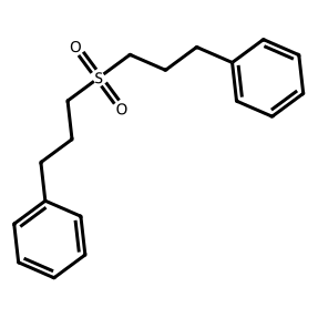 O=S(=O)(CCCc1ccccc1)CCCc1ccccc1